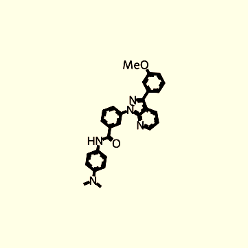 COc1cccc(-c2nn(-c3cccc(C(=O)Nc4ccc(N(C)C)cc4)c3)c3ncccc23)c1